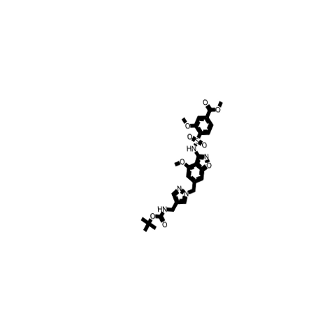 COC(=O)c1ccc(S(=O)(=O)Nc2noc3cc(Cn4cc(CNC(=O)OC(C)(C)C)cn4)cc(OC)c23)c(OC)c1